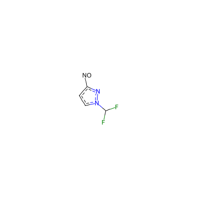 O=Nc1ccn(C(F)F)n1